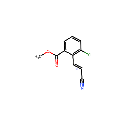 COC(=O)c1cccc(Cl)c1/C=C/C#N